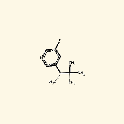 C[C@H](c1cncc(F)c1)C(C)(C)C